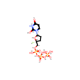 O=c1ccn([C@H]2CC[C@@](F)(COP(=O)(O)OP(=O)(O)OP(=O)(O)O)O2)c(=O)[nH]1